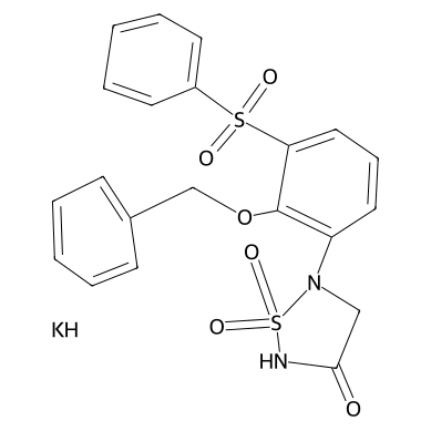 O=C1CN(c2cccc(S(=O)(=O)c3ccccc3)c2OCc2ccccc2)S(=O)(=O)N1.[KH]